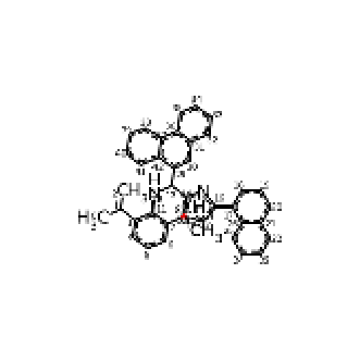 CC(C)c1cccc(C(C)C)c1NC(c1nc(-c2cccc3ccccc23)cs1)c1cc2ccccc2c2ccccc12